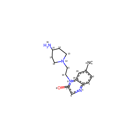 [C-]#[N+]c1ccc2ncc(=O)n(CCN3CCC(N)CC3)c2c1